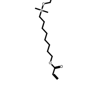 C=CC(=O)OCCCCCCCC[Si](C)(C)OCC